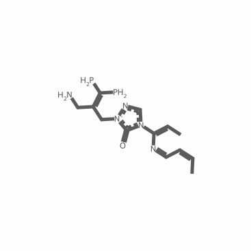 C\C=C/C=N\C(=C/C)n1cnn(CC(CN)=C(P)P)c1=O